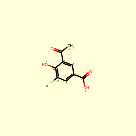 CC(=O)c1cc(C(=O)O)cc(F)c1O